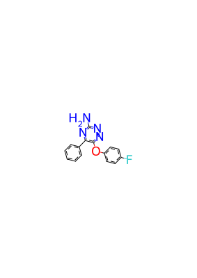 Nc1nnc(Oc2ccc(F)cc2)c(-c2ccccc2)n1